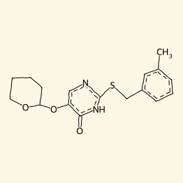 Cc1cccc(CSc2ncc(OC3CCCCO3)c(=O)[nH]2)c1